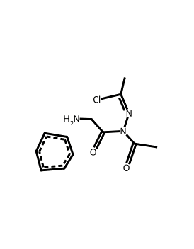 CC(=O)N(N=C(C)Cl)C(=O)CN.c1ccccc1